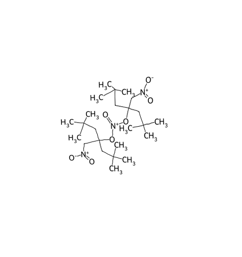 CC(C)(C)CC(C[N+](=O)[O-])(CC(C)(C)C)O[N+](=O)OC(C[N+](=O)[O-])(CC(C)(C)C)CC(C)(C)C